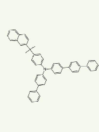 CC(C)(c1ccc(N(c2ccc(-c3ccccc3)cc2)c2ccc(-c3ccc(-c4ccccc4)cc3)cc2)cc1)c1ccc2ccccc2c1